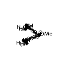 COC(=O)c1ccc(OCCOCCOCCOc2ccc(C(C)(c3ccc[nH]3)c3ccc[nH]3)cc2)c(OCCOCCOCCOc2ccc(C(C)(c3ccc[nH]3)c3ccc[nH]3)cc2)c1